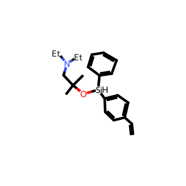 C=Cc1ccc([SiH](OC(C)(C)CN(CC)CC)c2ccccc2)cc1